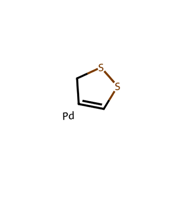 C1=CSSC1.[Pd]